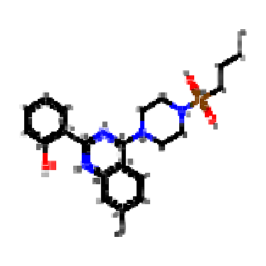 CCCCS(=O)(=O)N1CCN(c2nc(-c3ccccc3O)nc3cc(C)ccc23)CC1